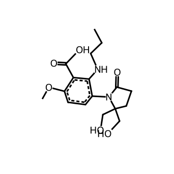 CCCNc1c(N2C(=O)CCC2(CO)CO)ccc(OC)c1C(=O)O